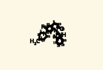 CN1CCN(c2cc3c(ccc(=O)n3-c3nc4ccccc4[nH]3)cc2F)CC1